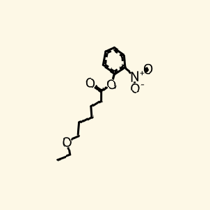 CCOCCCCCC(=O)Oc1ccccc1[N+](=O)[O-]